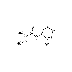 CCCCCCCCCN(CC(C)(C)C)C(=O)NC1CCCCC1O